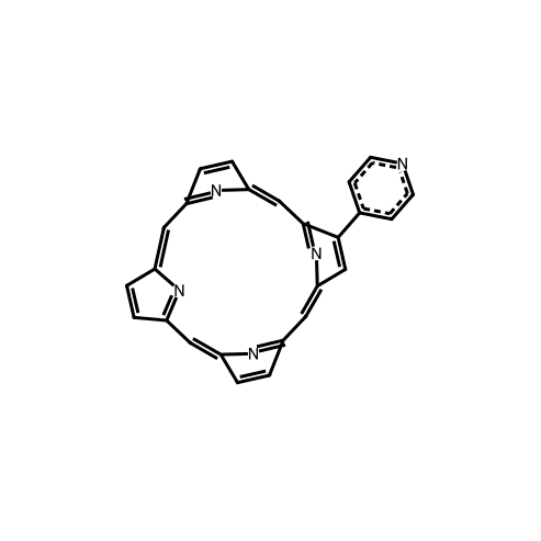 C1=CC2=NC1=CC1=NC(=CC3=NC(=CC4=NC(=C2)C=C4)C=C3c2ccncc2)C=C1